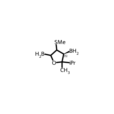 BC1OC(C)(C(C)C)[C@H](B)C1SC